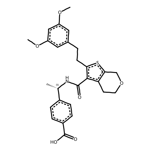 COc1cc(CCc2sc3c(c2C(=O)N[C@@H](C)c2ccc(C(=O)O)cc2)CCOC3)cc(OC)c1